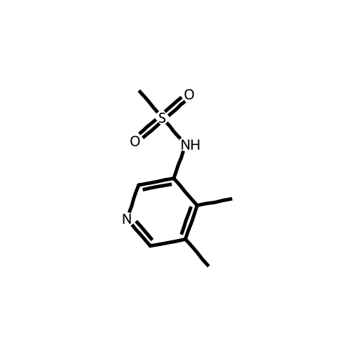 Cc1cncc(NS(C)(=O)=O)c1C